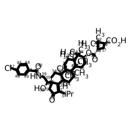 CC(C)C1=C2[C@H]3CC[C@]4(C)[C@@]5(C)CC[C@H](OC(=O)[C@H]6C[C@@H](C(=O)O)C6(C)C)C(C)(C)[C@]5(C)CC[C@@]4(C)[C@]3(C)CC[C@@]2([C@@H](O)CNC(=O)c2ccc(Cl)cc2)CC1=O